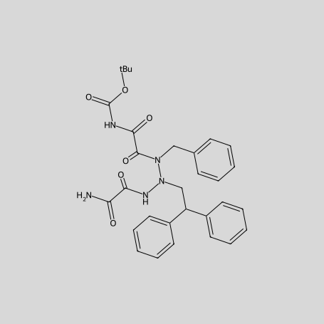 CC(C)(C)OC(=O)NC(=O)C(=O)N(Cc1ccccc1)N(CC(c1ccccc1)c1ccccc1)NC(=O)C(N)=O